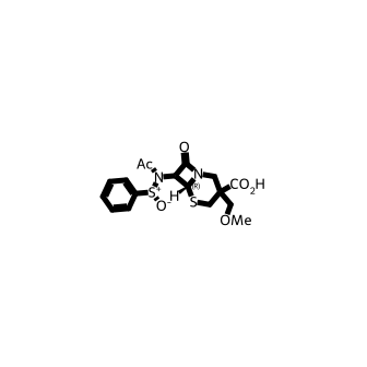 COCC1(C(=O)O)CS[C@@H]2C(N(C(C)=O)[S+]([O-])c3ccccc3)C(=O)N2C1